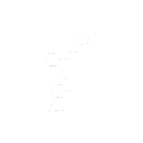 CCN1CC[C@@H](CCNc2ccccc2S(=O)(=O)Nc2ccc3c(c2C(=O)O)OCC2CC32)C1